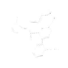 COc1c(O)ccc2c1-c1ccc3c(c1/C(=C/c1sccc1C(C)=O)O2)C(C)=CC(C)(C)N3